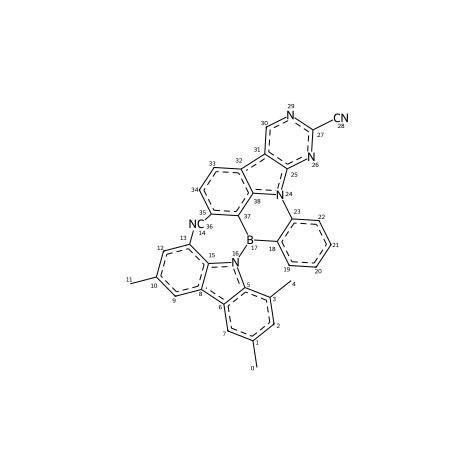 Cc1cc(C)c2c(c1)c1cc(C)cc(C)c1n2B1c2ccccc2-n2c3nc(C#N)ncc3c3ccc(C#N)c1c32